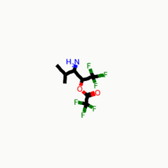 CC(C)C(N)C(OC(=O)C(F)(F)F)C(F)(F)F